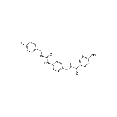 CCCc1ccc(C(=O)NCc2ccc(NC(=O)NCc3ccc(F)cc3)cc2)cn1